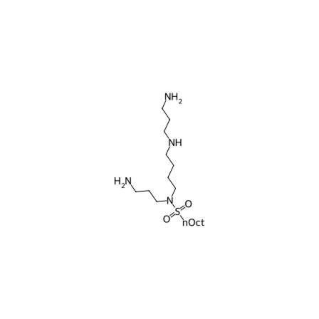 CCCCCCCCS(=O)(=O)N(CCCN)CCCCNCCCN